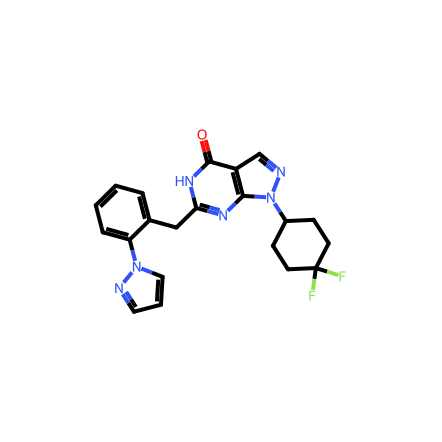 O=c1[nH]c(Cc2ccccc2-n2cccn2)nc2c1cnn2C1CCC(F)(F)CC1